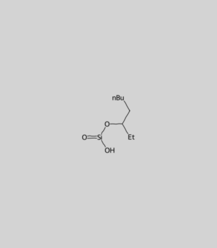 CCCCCC(CC)O[Si](=O)O